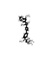 Cc1cc(-c2[nH]nc(-c3ccc(C4CCC(N(C)C(=O)CN(C)C)CC4)cc3)c2C(C)C)cn2ncnc12